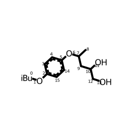 CCC(C)Oc1ccc(OC(C)CC(O)CO)cc1